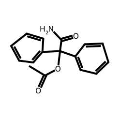 CC(=O)OC(C(N)=O)(c1ccccc1)c1ccccc1